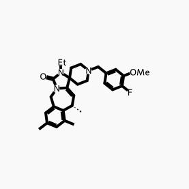 CCN1C(=O)N2Cc3cc(C)cc(C)c3[C@@H](C)C=C2C12CCN(Cc1ccc(F)c(OC)c1)CC2